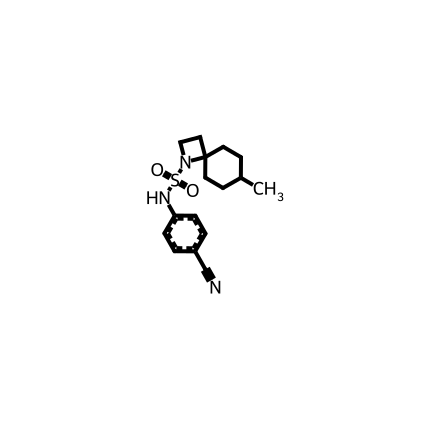 CC1CCC2(CC1)CCN2S(=O)(=O)Nc1ccc(C#N)cc1